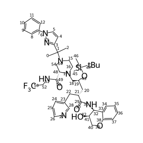 CC(C)(c1ccn(-c2ccccc2)n1)N1CCN(C[C@H](C[C@@H](Cc2cccnc2)C(=O)N[C@H]2c3ccccc3OC[C@H]2O)O[Si](C)(C)C(C)(C)C)[C@H](C(=O)NCC(F)(F)F)C1